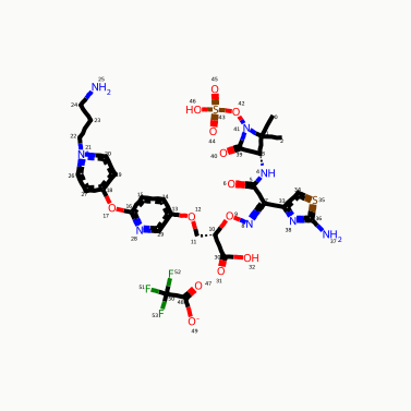 CC1(C)[C@H](NC(=O)/C(=N\O[C@@H](COc2ccc(Oc3cc[n+](CCCN)cc3)nc2)C(=O)O)c2csc(N)n2)C(=O)N1OS(=O)(=O)O.O=C([O-])C(F)(F)F